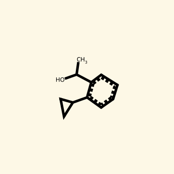 CC(O)c1ccccc1C1CC1